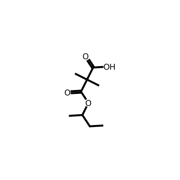 CCC(C)OC(=O)C(C)(C)C(=O)O